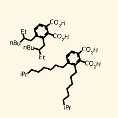 CC(C)CCCCCCc1ccc(C(=O)O)c(C(=O)O)c1CCCCCCC(C)C.CCCCC(CC)Cc1ccc(C(=O)O)c(C(=O)O)c1CC(CC)CCCC